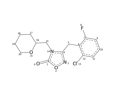 O=c1onc(Cc2c(F)cccc2Cl)n1CC1CCCCO1